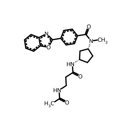 CC(=O)NCCC(=O)N[C@H]1CC[C@@H](N(C)C(=O)c2ccc(-c3nc4ccccc4o3)cc2)C1